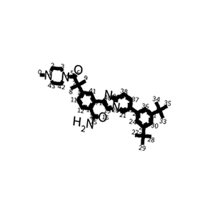 CN1CCN(C(=O)C(C)(C)c2ccc(C(N)=O)c(-c3cn4cc(-c5cc(C(C)(C)C)cc(C(C)(C)C)c5)ccc4n3)c2)CC1